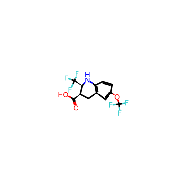 O=C(O)[C@@H]1Cc2cc(OC(F)(F)F)ccc2N[C@@H]1C(F)(F)F